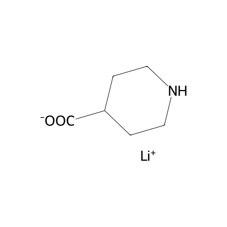 O=C([O-])C1CCNCC1.[Li+]